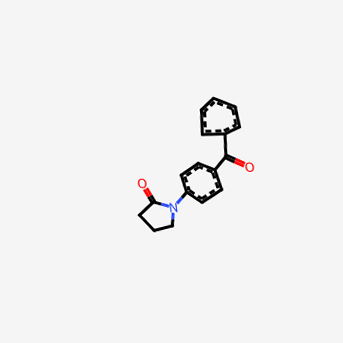 O=C(c1ccccc1)c1ccc(N2CCCC2=O)cc1